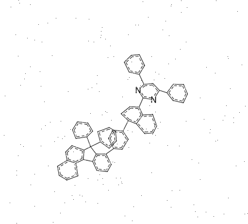 c1ccc(-c2cc(-c3ccccc3)nc(-c3ccc(-c4ccc(-c5cccc6c5C(c5ccccc5)(c5ccccc5)c5ccc7ccccc7c5-6)cc4)c4ccccc34)n2)cc1